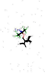 C=C(C)C(COC(N)(C(F)(F)F)C(F)(F)F)=C(C)C